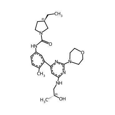 CC[C@@H]1CCN(C(=O)Nc2ccc(C)c(-c3cc(NC[C@@H](C)O)nc(N4CCOCC4)n3)c2)C1